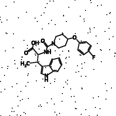 CC(c1c[nH]c2ccccc12)C(NC(=O)N1CCC(Oc2ccc(F)cc2)CC1)C(=O)O